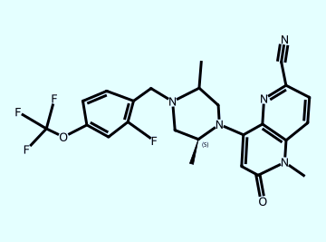 CC1CN(c2cc(=O)n(C)c3ccc(C#N)nc23)[C@@H](C)CN1Cc1ccc(OC(F)(F)F)cc1F